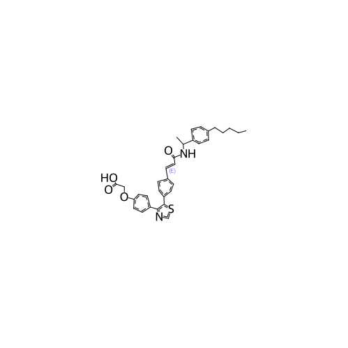 CCCCCc1ccc(C(C)NC(=O)/C=C/c2ccc(-c3scnc3-c3ccc(OCC(=O)O)cc3)cc2)cc1